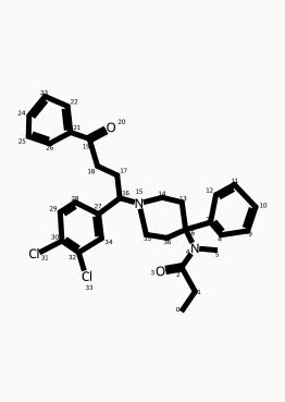 CCC(=O)N(C)C1(c2ccccc2)CCN(C(CCC(=O)c2ccccc2)c2ccc(Cl)c(Cl)c2)CC1